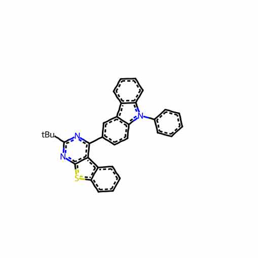 CC(C)(C)c1nc(-c2ccc3c(c2)c2ccccc2n3-c2ccccc2)c2c(n1)sc1ccccc12